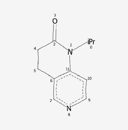 CC(C)N1C(=O)CCc2cnccc21